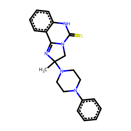 CC1(N2CCN(c3ccccc3)CC2)CN2C(=S)Nc3ccccc3C2=N1